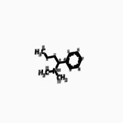 CCCC(c1ccccc1)N(C)C